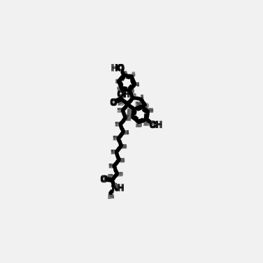 CCC(c1ccc(O)cc1)C(CCCCCCCCCCC(=O)NC)(C(=O)O)c1ccc(O)cc1